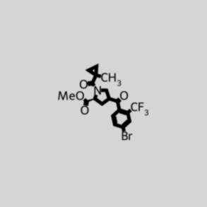 COC(=O)[C@@H]1CC(C(=O)c2ccc(Br)cc2C(F)(F)F)CN1C(=O)C1(C)CC1